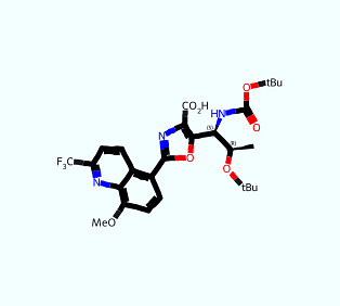 COc1ccc(-c2nc(C(=O)O)c([C@@H](NC(=O)OC(C)(C)C)[C@@H](C)OC(C)(C)C)o2)c2ccc(C(F)(F)F)nc12